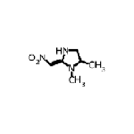 CC1CN/C(=C\[N+](=O)[O-])N1C